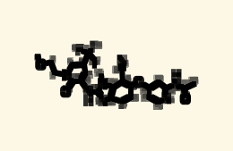 COCCn1cc(C(F)(F)F)cc(Nc2nc3ccc(Oc4ccnc(NC(C)=O)c4)c(C#N)c3n2C)c1=O